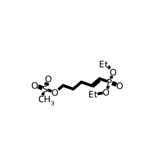 CCOP(=O)(C=CCCCOS(C)(=O)=O)OCC